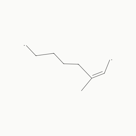 [CH2]C=C(C)CCCC[CH2]